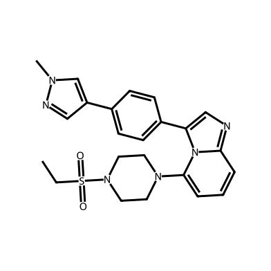 CCS(=O)(=O)N1CCN(c2cccc3ncc(-c4ccc(-c5cnn(C)c5)cc4)n23)CC1